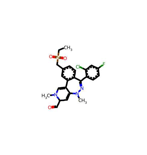 CCS(=O)(=O)Cc1ccc2c(c1)C1=CN(C)C(C=O)C=C1N(C)N=C2c1ccc(F)cc1Cl